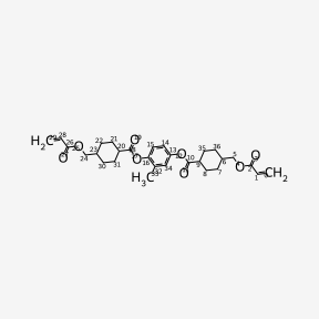 C=CC(=O)OCC1CCC(C(=O)Oc2ccc(OC(=O)C3CCC(COC(=O)C=C)CC3)c(C)c2)CC1